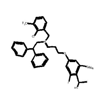 CSc1cc(OCCCN(Cc2cccc(C(F)(F)F)c2Cl)CC(c2ccccc2)c2ccccc2)cc(F)c1C(C)O